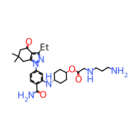 CCc1nn(-c2ccc(C(N)=O)c(N[C@H]3CC[C@H](OC(=O)CNCCCN)CC3)c2)c2c1C(=O)CC(C)(C)C2